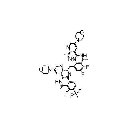 Cc1nnc(N[C@H](C)c2cc(Cc3nnc(N[C@H](C)c4cccc(C(C)(F)F)c4F)c4cc(N5CCOCC5)cnc34)cc(F)c2F)c2cc(N3CCOCC3)cnc12